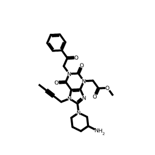 CC#CCn1c(N2CCCC(N)C2)nc2c1c(=O)n(CC(=O)c1ccccc1)c(=O)n2CC(=O)OC